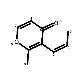 C/C=C\c1c(C)occc1=O